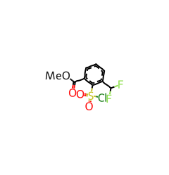 COC(=O)c1cccc(C(F)F)c1S(=O)(=O)Cl